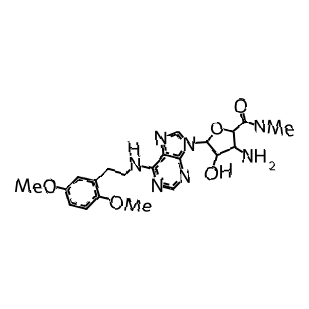 CNC(=O)C1OC(n2cnc3c(NCCc4cc(OC)ccc4OC)ncnc32)C(O)C1N